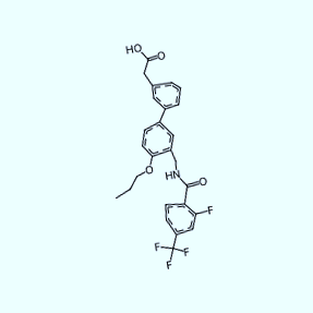 CCCOc1ccc(-c2cccc(CC(=O)O)c2)cc1CNC(=O)c1ccc(C(F)(F)F)cc1F